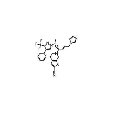 CCn1cc(-c2ccccc2[C@@H]2CN(C(=O)/C=C/Cn3ccnc3)Cc3sc(C#N)cc32)c(C(F)(F)F)n1